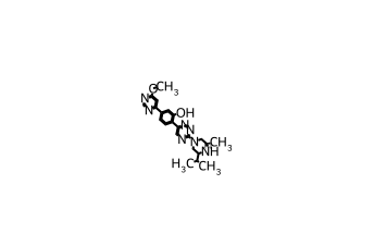 COc1cc(-c2ccc(-c3cnc(N4CC(C(C)C)N[C@H](C)C4)nn3)c(O)c2)ncn1